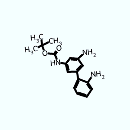 CC(C)(C)OC(=O)Nc1cc(N)cc(-c2ccccc2N)c1